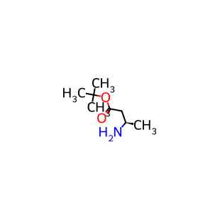 C[C@@H](N)CC(=O)OC(C)(C)C